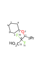 CC(C)C(OC1CCCCC1)C(F)(F)C(=O)O